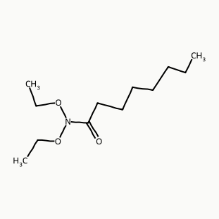 CCCCCCCC(=O)N(OCC)OCC